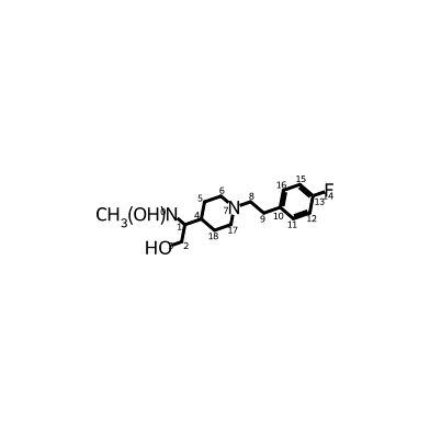 CN(O)C(CO)C1CCN(CCc2ccc(F)cc2)CC1